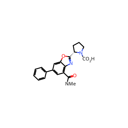 CNC(=O)c1cc(-c2ccccc2)cc2oc([C@@H]3CCCN3C(=O)O)nc12